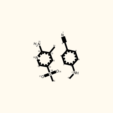 CNc1ccc(C#N)cc1.Cc1cc(S(C)(=O)=O)cnc1N